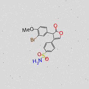 COc1ccc(C2C(=O)OC=C2c2ccc(S(N)(=O)=O)cc2)cc1Br